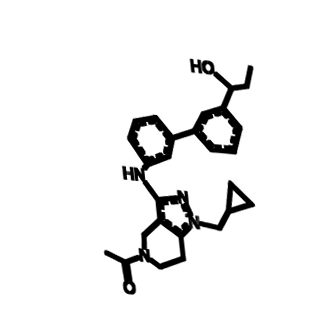 CCC(O)c1cccc(-c2cccc(Nc3nn(CC4CC4)c4c3CN(C(C)=O)CC4)c2)c1